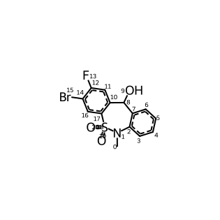 CN1c2ccccc2C(O)c2cc(F)c(Br)cc2S1(=O)=O